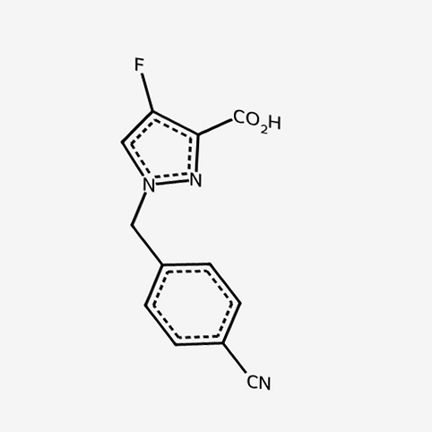 N#Cc1ccc(Cn2cc(F)c(C(=O)O)n2)cc1